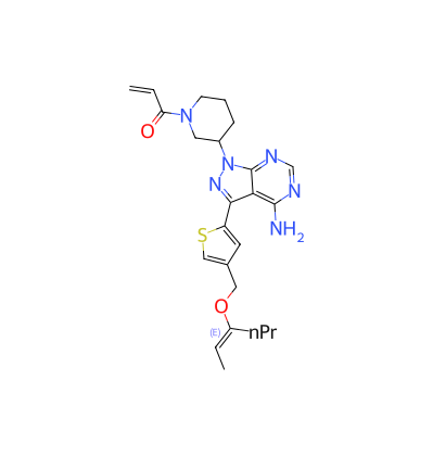 C=CC(=O)N1CCCC(n2nc(-c3cc(CO/C(=C/C)CCC)cs3)c3c(N)ncnc32)C1